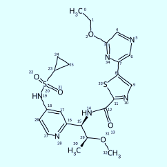 CCOc1cncc(-c2cnc(C(=O)N[C@H](c3cc(NS(=O)(=O)C4CC4)ccn3)[C@H](C)OC)s2)n1